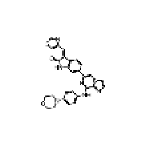 O=C1Nc2cc(-c3cn4ccnc4c(Nc4ccc(N5CCOCC5)cc4)n3)ccc2C1=Cc1cscn1